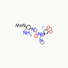 CNc1ccc(N2CC[C@@H](C(=O)NC(Cc3cc(F)c4c(c3)OCCO4)CN3CCCC3)C2)cc1CN